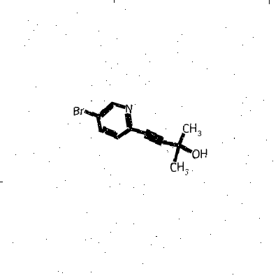 CC(C)(O)C#Cc1ccc(Br)cn1